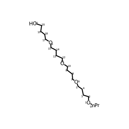 CCCOCCCCOCCCCOCCCCOCCCCO